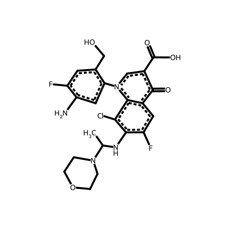 CC(Nc1c(F)cc2c(=O)c(C(=O)O)cn(-c3cc(N)c(F)cc3CO)c2c1Cl)N1CCOCC1